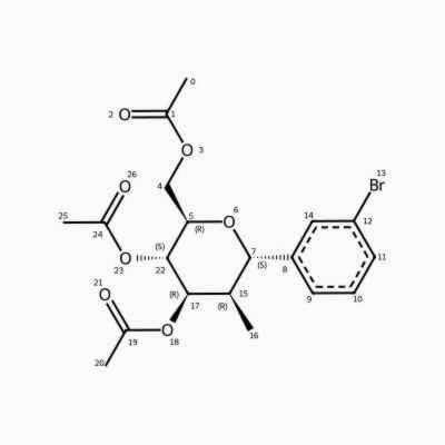 CC(=O)OC[C@H]1O[C@H](c2cccc(Br)c2)[C@@H](C)[C@@H](OC(C)=O)[C@@H]1OC(C)=O